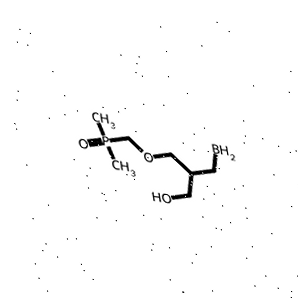 BCC(CO)COCP(C)(C)=O